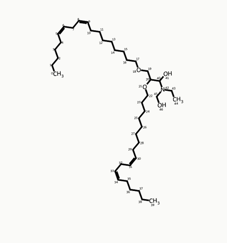 CCCCC/C=C\C/C=C\CCCCCCCCOCC(OCCCCCCCC/C=C\C/C=C\CCCCC)C(O)N(CC)CO